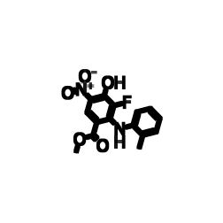 COC(=O)c1cc([N+](=O)[O-])c(O)c(F)c1Nc1ccccc1C